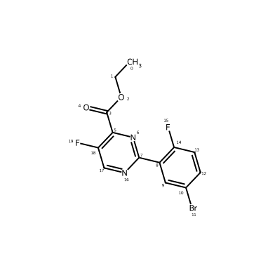 CCOC(=O)c1nc(-c2cc(Br)ccc2F)ncc1F